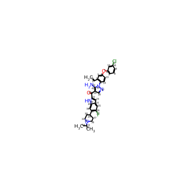 C=Cc1cc(Oc2cccc(Cl)c2)ccc1-n1ncc(C(=O)c2cc3cc(F)c(C4CCN(C(C)C)CC4)cc3[nH]2)c1N